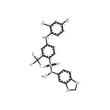 CN(c1ccc2c(c1)OCO2)S(=O)(=O)c1ccc(Nc2ccc(Cl)cc2Cl)cc1C(F)(F)F